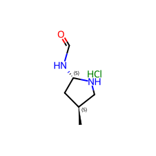 C[C@@H]1CN[C@@H](NC=O)C1.Cl